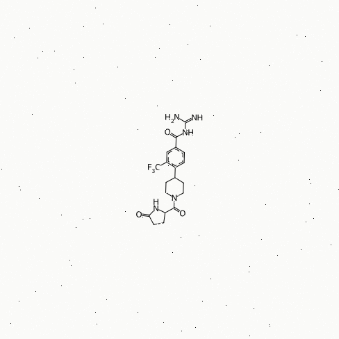 N=C(N)NC(=O)c1ccc(C2CCN(C(=O)C3CCC(=O)N3)CC2)c(C(F)(F)F)c1